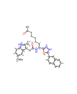 CCC(=O)CCCCC[C@H](NC(=O)Cc1c(C)[nH]c2ccc(OC)cc12)c1nnc(-c2ccc3ccccc3c2)o1